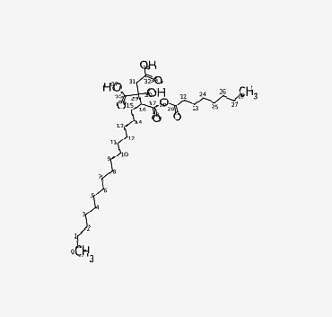 CCCCCCCCCCCCCCCCC(C(=O)OC(=O)CCCCCCC)C(O)(CC(=O)O)C(=O)O